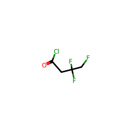 O=C(Cl)CC(F)(F)CF